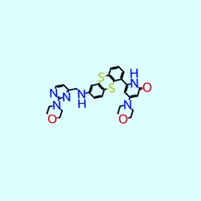 O=c1cc(N2CCOCC2)cc(-c2cccc3c2Sc2ccc(NCc4ccnc(N5CCOCC5)n4)cc2S3)[nH]1